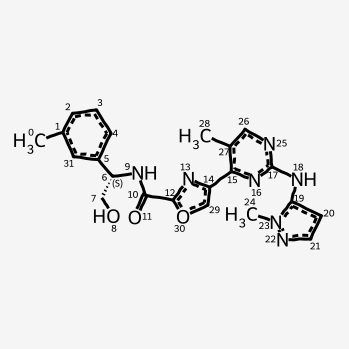 Cc1cccc([C@@H](CO)NC(=O)c2nc(-c3nc(Nc4ccnn4C)ncc3C)co2)c1